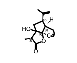 C=C(C)[C@@H]1CC2(O)[C@H](C)C(=O)O[C@@]23CC=CC[C@H]13